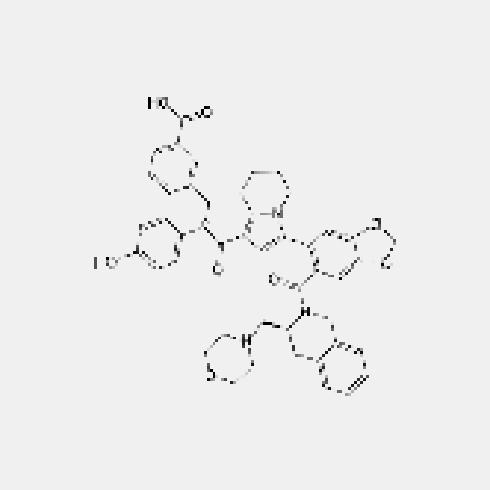 O=C(O)c1cccc(CN(C(=O)c2cc(-c3cc4c(cc3C(=O)N3Cc5ccccc5C[C@H]3CN3CCOCC3)OCO4)n3c2CCCC3)c2ccc(O)cc2)c1